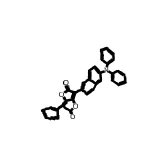 O=C1OC2=C(c3ccc4cc(N(c5ccccc5)c5ccccc5)ccc4c3)C(=O)OC2=C1c1ccccc1